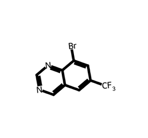 FC(F)(F)c1cc(Br)c2ncncc2c1